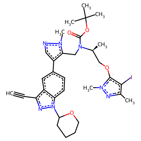 C#Cc1nn(C2CCCCO2)c2ccc(-c3cnn(C)c3CN(C(=O)OC(C)(C)C)[C@@H](C)COc3c(I)c(C)nn3C)cc12